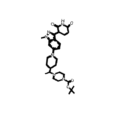 CC(C1CCN(c2ccc3c(C4CCC(=O)NC4=O)nn(C)c3c2)CC1)N1CCN(C(=O)OC(C)(C)C)CC1